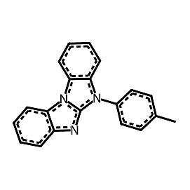 Cc1ccc(-n2c3ccccc3n3c4ccccc4nc23)cc1